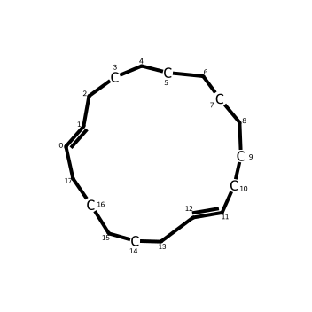 C1=C/CCCCCCCCC/C=C/CCCCC/1